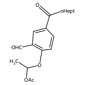 CCCCCCCC(=O)c1ccc(OC(C)OC(C)=O)c([C]=O)c1